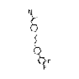 N#CC(F)=C[C@H]1CC[C@H](CCCC[C@H]2CC[C@H](c3ccc(F)c(F)c3)CC2)CC1